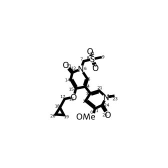 COc1cc(-c2cn(CS(C)(=O)=O)c(=O)cc2OCC2CC2)cn(C)c1=O